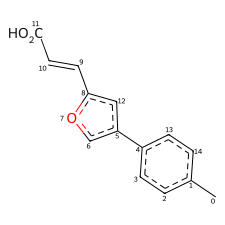 Cc1ccc(-c2coc(/C=C/C(=O)O)c2)cc1